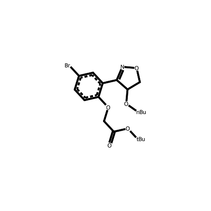 CCCCOC1CON=C1c1cc(Br)ccc1OCC(=O)OC(C)(C)C